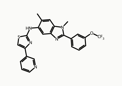 Cc1cc2c(cc1Nc1nc(-c3cccnc3)cs1)nc(-c1cccc(OC(F)(F)F)c1)n2C